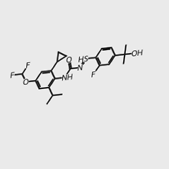 CC(C)c1cc(OC(F)F)cc(C2CC2)c1NC(=O)/N=[SH]/c1ccc(C(C)(C)O)cc1F